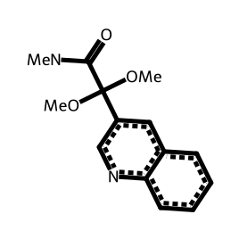 CNC(=O)C(OC)(OC)c1cnc2ccccc2c1